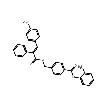 COc1ccc(/C=C(/C(=O)NCc2ccc(C(=O)Nc3ccccc3N)cc2)c2ccccc2)cc1